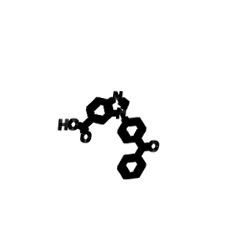 O=C(O)c1ccc2ncn(-c3ccc(C(=O)c4ccccc4)cc3)c2c1